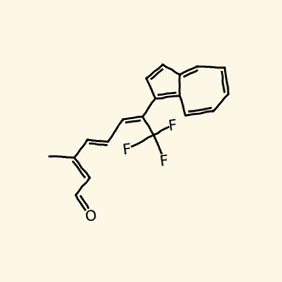 CC(C=CC=C(c1ccc2cccccc1-2)C(F)(F)F)=CC=O